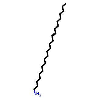 CCCCCCCC/C=C/CCCCCCCCCCCCCCN